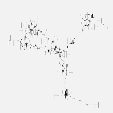 CC(=O)NC1C(OCCCCCCNC(=O)CCOCC(COCCC(=O)NCCCCCCOC2OC(CO)C(O)C(O)C2NC(C)=O)(COCCC(=O)NCCCCCCOC2OC(CO)C(O)C(O)C2NC(C)=O)NC(=O)c2ccc3c(c2)CCN3C(=O)NCCCCCCOP(=O)(O)OCCCCCCCCO)OC(CO)C(O)C1O